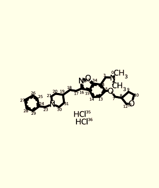 CN(C)Cc1c(OCC2CCOC2)ccc2c(CCC3CCN(Cc4ccccc4)CC3)noc12.Cl.Cl